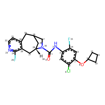 O=C(Nc1cc(Cl)c(OC2CCC2)cc1F)N1CC2Cc3ccnc(F)c3C[C@@H]1C2